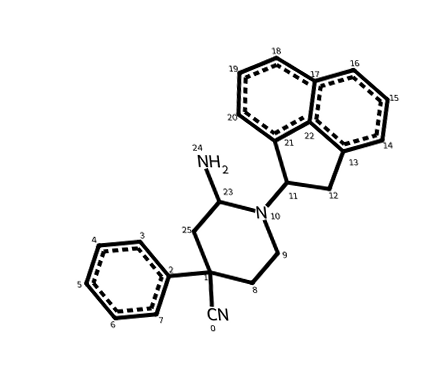 N#CC1(c2ccccc2)CCN(C2Cc3cccc4cccc2c34)C(N)C1